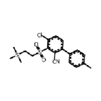 Cc1ccc(-c2ccc(Cl)c(S(=O)(=O)CC[Si](C)(C)C)c2C#N)cc1